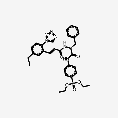 CCOP(=O)(OCC)c1ccc(NC(=O)[C@H](Cc2ccccc2)NC(=O)/C=C/c2cc(CI)ccc2-n2cnnn2)cc1